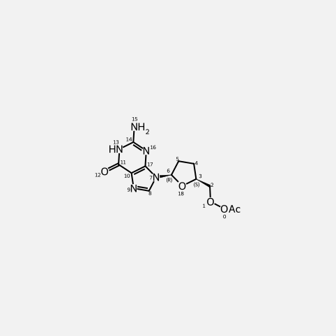 CC(=O)OOC[C@@H]1CC[C@H](n2cnc3c(=O)[nH]c(N)nc32)O1